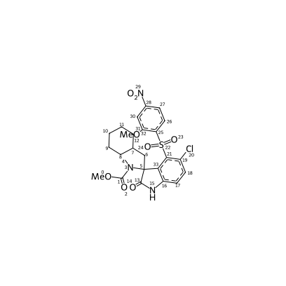 COC(=O)N(C)C1(CC2CCCCC2)C(=O)Nc2ccc(Cl)c(S(=O)(=O)c3ccc([N+](=O)[O-])cc3OC)c21